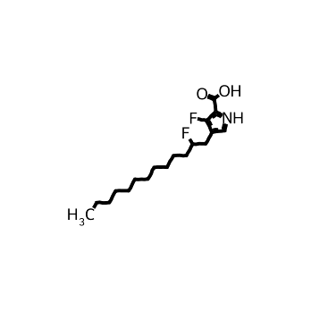 CCCCCCCCCCCC(F)Cc1c[nH]c(C(=O)O)c1F